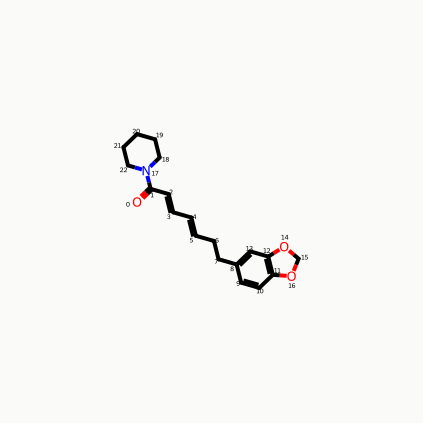 O=C(/C=C/C=C/CCc1ccc2c(c1)OCO2)N1CCCCC1